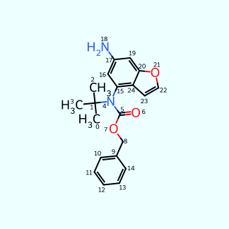 CC(C)(C)N(C(=O)OCc1ccccc1)c1cc(N)cc2occc12